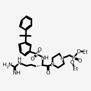 CCOP(=O)(CN1CCN(C(=O)[C@H](CCCNC(=N)N)NS(=O)(=O)c2cccc(C(C)(C)c3ccccc3)c2)CC1)OCC